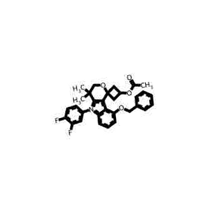 CC(=O)OC1CC2(C1)OCC(C)(C)c1c2c2c(OCc3ccccc3)cccc2n1-c1ccc(F)c(F)c1